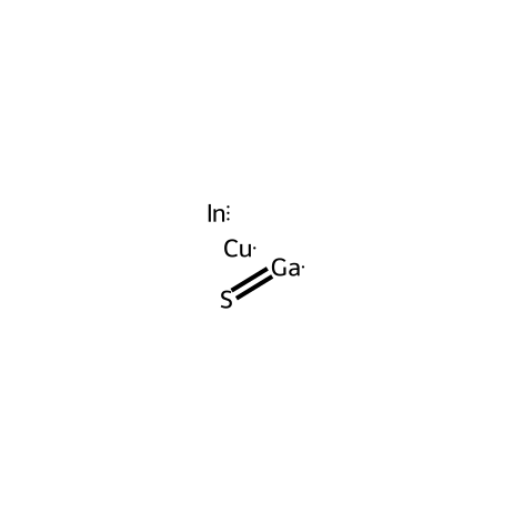 [Cu].[In].[S]=[Ga]